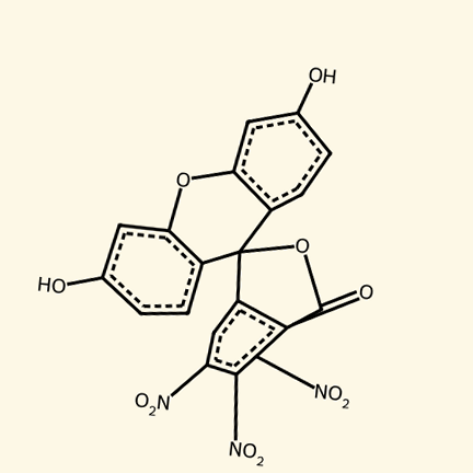 O=C1OC2(c3ccc(O)cc3Oc3cc(O)ccc32)c2cc([N+](=O)[O-])c([N+](=O)[O-])c([N+](=O)[O-])c21